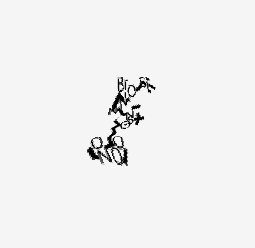 CCN([C@H](CCCCCC1(c2ncco2)OCCO1)c1ncc(Br)n1COCC[Si](C)(C)C)[S@+]([O-])C(C)(C)C